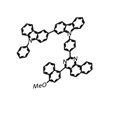 COc1ccc(-c2nc(-c3ccc(-n4c5ccccc5c5ccc(-c6ccc7c(c6)c6ccccc6n7-c6ccccc6)cc54)cc3)nc3c2ccc2ccccc23)c2ccccc12